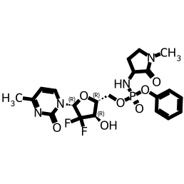 Cc1ccn([C@@H]2O[C@H](COP(=O)(NC3CCN(C)C3=O)Oc3ccccc3)[C@@H](O)C2(F)F)c(=O)n1